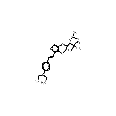 CCN(CC)c1ccc(/C=C/c2scc3c2OCC(C(O[SiH](C)C)C(C)(C)C)O3)cc1